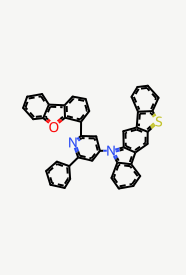 c1ccc(-c2cc(-n3c4ccccc4c4cc5sc6ccccc6c5cc43)cc(-c3cccc4c3oc3ccccc34)n2)cc1